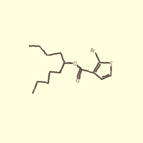 CCCCCC(CCCC)OC(=O)c1ccsc1Br